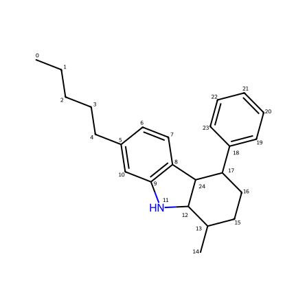 CCCCCc1ccc2c(c1)NC1C(C)CCC(c3ccccc3)C21